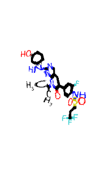 CC(C)n1c(=O)c(-c2ccc(NS(=O)(=O)CCC(F)(F)F)c(F)c2)cc2cnc(N[C@H]3CCC[C@@H](O)C3)nc21